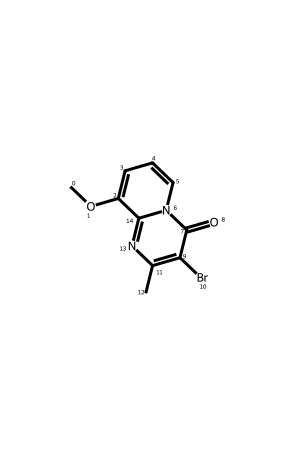 COc1cccn2c(=O)c(Br)c(C)nc12